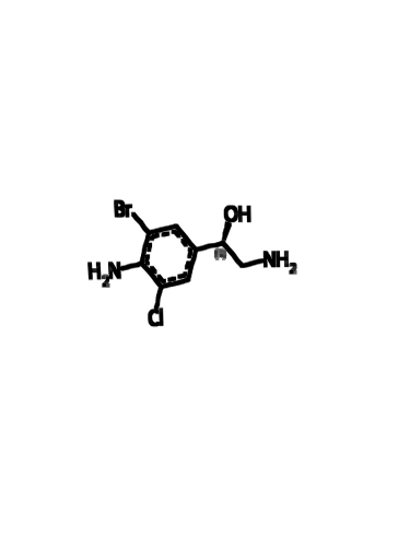 NC[C@H](O)c1cc(Cl)c(N)c(Br)c1